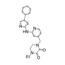 CCN1CCN(Cc2ccnc(Nc3ncc(-c4ccccc4)s3)c2)C(=O)C1=O